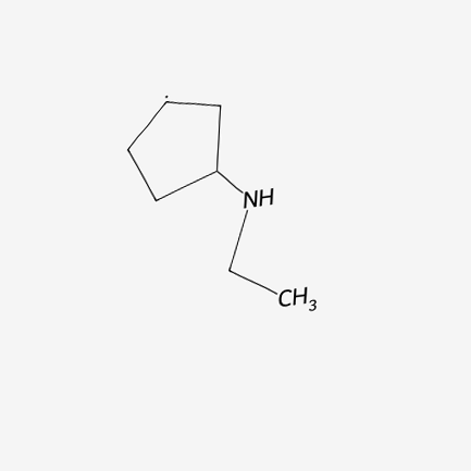 CCNC1C[CH]CC1